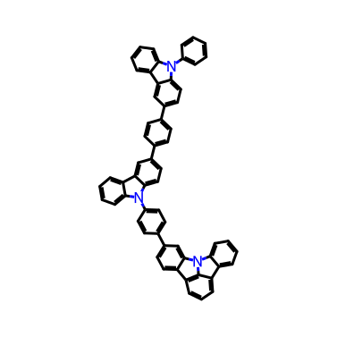 c1ccc(-n2c3ccccc3c3cc(-c4ccc(-c5ccc6c(c5)c5ccccc5n6-c5ccc(-c6ccc7c8cccc9c%10ccccc%10n(c7c6)c98)cc5)cc4)ccc32)cc1